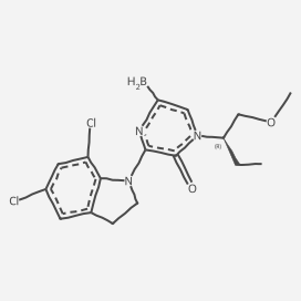 Bc1cn([C@H](CC)COC)c(=O)c(N2CCc3cc(Cl)cc(Cl)c32)n1